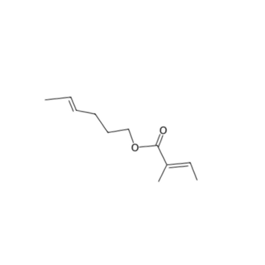 C/C=C/CCCOC(=O)/C(C)=C/C